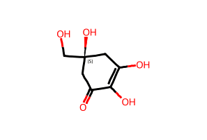 O=C1C[C@](O)(CO)CC(O)=C1O